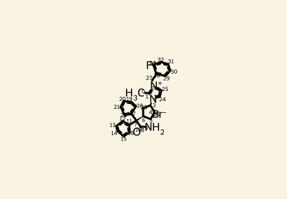 Cc1n([C@H]2CC[C@@H](C(C(N)=O)(c3ccccc3)c3ccccc3)C2)cc[n+]1Cc1ccccc1F.[Br-]